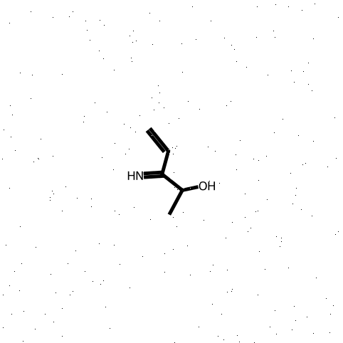 C=CC(=N)C(C)O